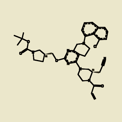 C=CC(=O)N1CCN(c2nc(OC[C@@H]3CCN(C(=O)OC(C)(C)C)C3)nc3c2CCN(c2cccc4cccc(Cl)c24)C3)C[C@@H]1CC#N